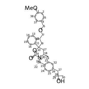 COc1ccc(COCCCC2(c3ccccc3)C[C@@H](C)N([C@@H](C)c3ccc(CC(C)(C)O)cc3)C(=O)O2)cc1